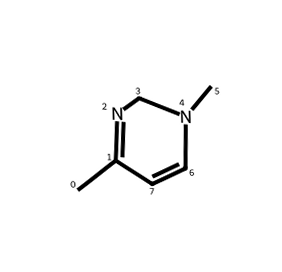 CC1=NCN(C)C=C1